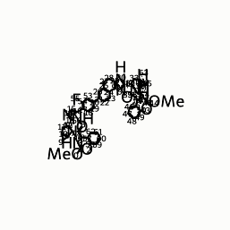 COC(=O)N[C@@H](C(=O)N1C2CC2C[C@H]1c1ncc(-c2ccc(-c3ccc4c(c3)CCc3[nH]c([C@@H]5C[C@H]6C[C@H]6N5C(=O)[C@H](NC(=O)OC)c5ccccc5)nc3-4)cc2F)[nH]1)c1ccccc1